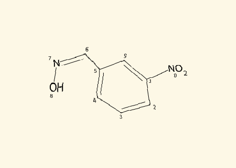 O=[N+]([O-])c1cccc(/C=N\O)c1